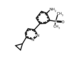 CP(C)(=O)c1cc(-c2ccc(C3CC3)nn2)ccc1N